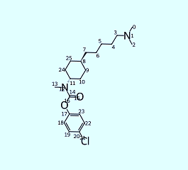 CN(C)CCCCC[C@H]1CC[C@H](N(C)C(=O)Oc2ccc(Cl)cc2)CC1